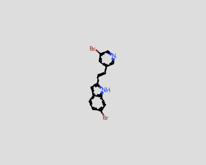 Brc1cncc(/C=C/c2cc3ccc(Br)cc3[nH]2)c1